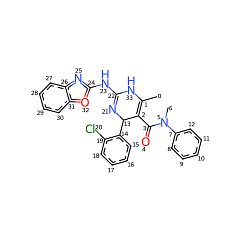 CC1=C(C(=O)N(C)c2ccccc2)C(c2ccccc2Cl)N=C(Nc2nc3ccccc3o2)N1